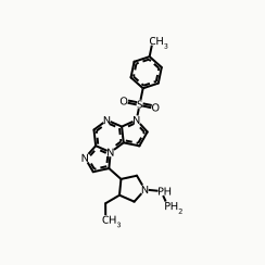 CCC1CN(PP)CC1c1cnc2cnc3c(ccn3S(=O)(=O)c3ccc(C)cc3)n12